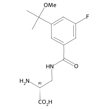 COC(C)(C)c1cc(F)cc(C(=O)NC[C@@H](N)C(=O)O)c1